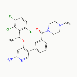 CC(Oc1cc(N)ncc1-c1cccc(C(=O)N2CCN(C)CC2)c1)c1c(Cl)ccc(F)c1Cl